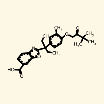 CCC(CC)(c1ccc(OCC(=O)C(C)(C)C)c(C)c1)c1nc2ccc(C(=O)O)cc2o1